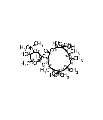 CC[C@H]1OC(=O)[C@H](C)[C@@H](O[C@H]2CCC(N(C)C)[C@H](O)C(C)O2)[C@H](C)[C@@H](O)[C@](C)(O)C[C@@H](C)CN(C)[C@H](C)[C@@H](O)[C@]1(C)O